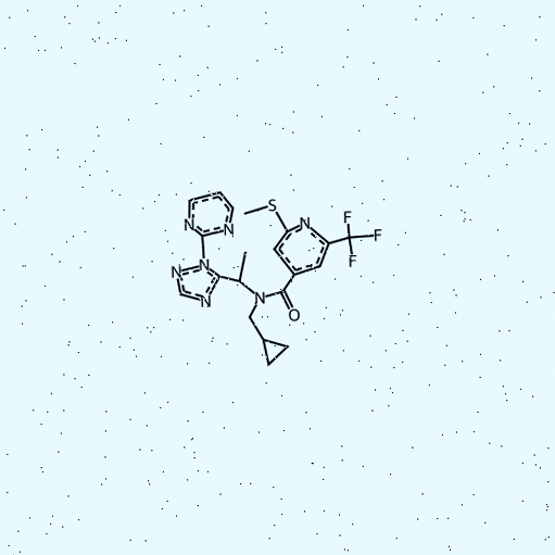 CSc1cc(C(=O)N(CC2CC2)C(C)c2ncnn2-c2ncccn2)cc(C(F)(F)F)n1